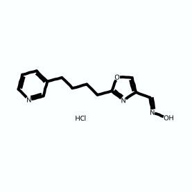 Cl.ON=Cc1coc(CCCCc2cccnc2)n1